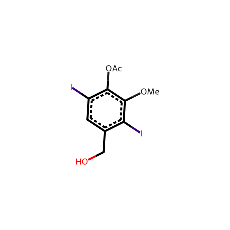 COc1c(I)c(CO)cc(I)c1OC(C)=O